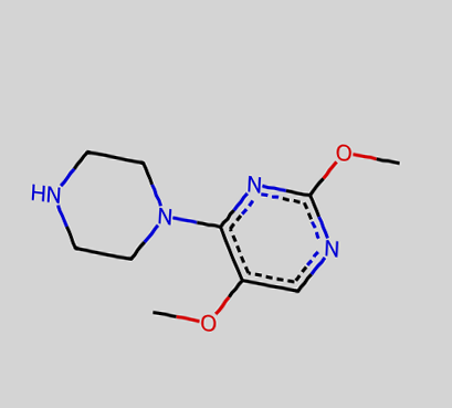 COc1ncc(OC)c(N2CCNCC2)n1